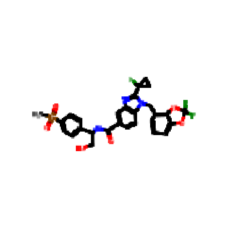 CS(=O)(=O)c1ccc(C(CO)NC(=O)c2ccc3c(c2)nc(C2(F)CC2)n3Cc2cccc3c2OC(F)(F)O3)cc1